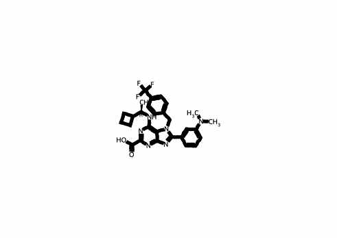 C[C@@H](Nc1nc(C(=O)O)nc2nc(-c3cccc(N(C)C)c3)n(Cc3ccc(C(F)(F)F)cc3)c12)C1CCC1